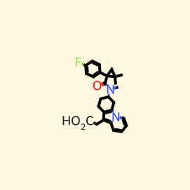 CN(C(=O)C1(c2ccc(F)cc2)CC1(C)C)[C@@H]1CCc2c(CC(=O)O)c3ccccn3c2C1